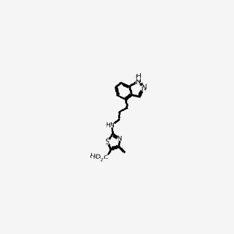 Cc1nc(NCCCc2cccc3[nH]ncc23)sc1C(=O)O